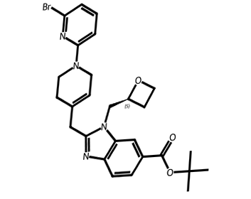 CC(C)(C)OC(=O)c1ccc2nc(CC3=CCN(c4cccc(Br)n4)CC3)n(C[C@@H]3CCO3)c2c1